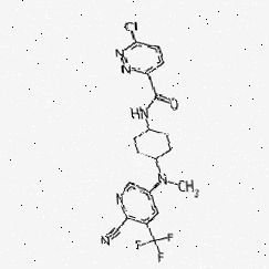 CN(c1cnc(C#N)c(C(F)(F)F)c1)C1CCC(NC(=O)c2ccc(Cl)nn2)CC1